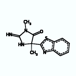 CN1C(=N)NC(C)(c2nc3ccccc3s2)C1=O